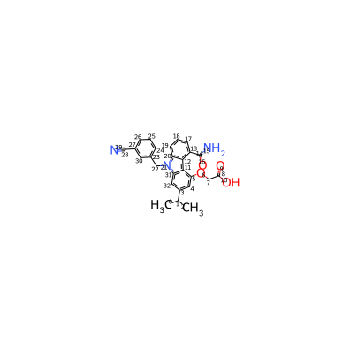 CC(C)c1cc(OCC(=O)O)c2c3c(C(N)=O)cccc3n(Cc3cccc(C#N)c3)c2c1